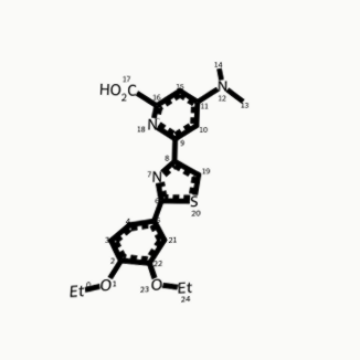 CCOc1ccc(-c2nc(-c3cc(N(C)C)cc(C(=O)O)n3)cs2)cc1OCC